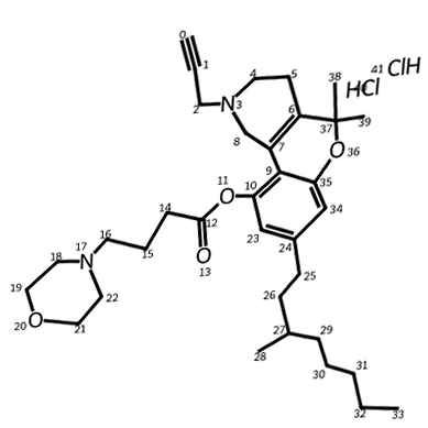 C#CCN1CCC2=C(C1)c1c(OC(=O)CCCN3CCOCC3)cc(CCC(C)CCCCC)cc1OC2(C)C.Cl.Cl